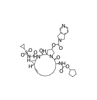 O=C(N[C@H]1CCCCC/C=C\[C@@H]2C[C@@]2(C(=O)NS(=O)(=O)C2CC2)NC(=O)[C@@H]2C[C@@H](OC(=O)N3Cc4ccncc4C3)CN2C1=O)OC1CCCC1